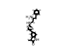 CC1C(=O)Nc2ccc(-c3cnc(NC[C@H](N)Cc4ccccc4)s3)cc21